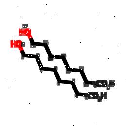 O=C(O)CCCCCCCO.O=C(O)CCCCCCCO